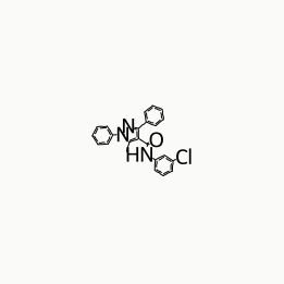 Cc1c(C(=O)Nc2cccc(Cl)c2)c(-c2ccccc2)nn1-c1ccccc1